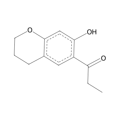 CCC(=O)c1cc2c(cc1O)OCCC2